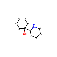 OC1(C2CCCCN2)CCCCC1